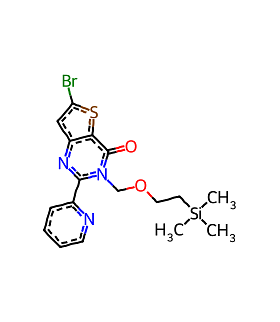 C[Si](C)(C)CCOCn1c(-c2ccccn2)nc2cc(Br)sc2c1=O